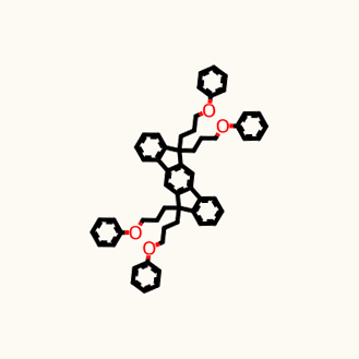 c1ccc(OCCCC2(CCCOc3ccccc3)c3ccccc3-c3cc4c(cc32)-c2ccccc2C4(CCCOc2ccccc2)CCCOc2ccccc2)cc1